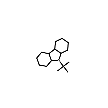 CC(C)(C)N1C2CCCCC2C2CCCCC21